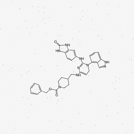 O=C(OCc1ccccc1)N1CCC(CNC2=CCN(c3cccc4[nH]ncc34)C(Nc3ccc4[nH]c(=O)[nH]c4c3)=N2)CC1